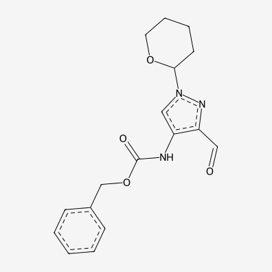 O=Cc1nn(C2CCCCO2)cc1NC(=O)OCc1ccccc1